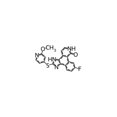 COc1cc(Sc2nc3c4ccc(F)cc4c4c(=O)[nH]ccc4c3[nH]2)ccn1